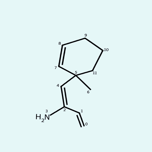 C=C/C(N)=C\C1(C)C=CCCC1